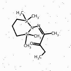 CCC(=O)C(C)=NN1[Si](C)(C)CCC[Si]1(C)C